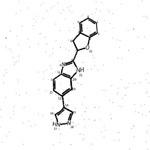 c1ccc2c(c1)CC(c1nc3ccc(-c4cn[nH]c4)cc3[nH]1)O2